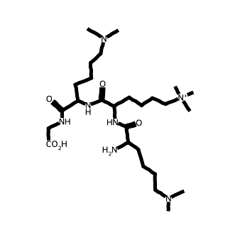 CN(C)CCCCC(N)C(=O)NC(CCCC[N+](C)(C)C)C(=O)NC(CCCCN(C)C)C(=O)NCC(=O)O